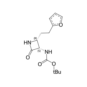 CC(C)(C)OC(=O)N[C@@H]1C(=O)N[C@@H]1CCc1ccco1